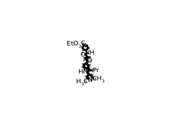 CCOC(=O)N1CCC(NC(=O)c2coc(-c3ccc4[nH]c(-c5cc(C)nc(C)c5)c(C(C)C)c4c3)n2)CC1